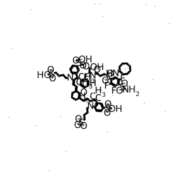 CC1(C)C(/C=C/C2=C(Oc3ccc(C[C@H](NC(=O)CCS(=O)(=O)c4c(F)c(F)c(S(N)(=O)=O)c(F)c4NC4CCCCCCC4)C(=O)O)cc3)C(=C/C=C3/N(CCCCS(=O)(=O)O)c4ccc(S(=O)(=O)O)cc4C3(C)C)/CCC2)=[N+](CCCCS(=O)(=O)[O-])c2ccc(S(=O)(=O)O)cc21